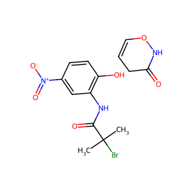 CC(C)(Br)C(=O)Nc1cc([N+](=O)[O-])ccc1O.O=C1CC=CON1